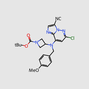 [C-]#[N+]c1cnc2c(N(Cc3ccc(OC)cc3)C3CN(C(=O)OC(C)(C)C)C3)cc(Cl)nn12